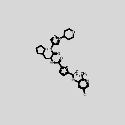 Cc1ncc(Cl)cc1N[C@@H](C)c1ccc(C(=O)N[C@@H](CC2CCCC2)C(=O)Nc2cnn(C3CCOCC3)c2)s1